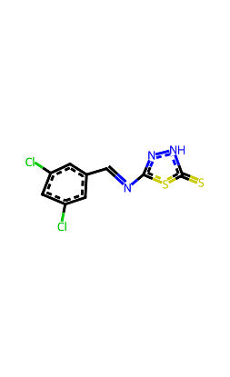 S=c1[nH]nc(N=Cc2cc(Cl)cc(Cl)c2)s1